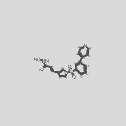 O=C(C=Cc1ccn(S(=O)(=O)c2cccc(-c3ccncc3)c2)c1)NO